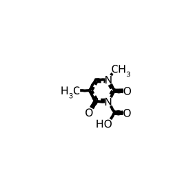 Cc1cn(C)c(=O)n(C(=O)O)c1=O